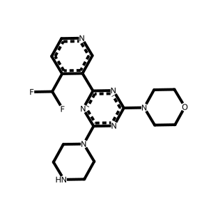 FC(F)c1ccncc1-c1nc(N2CCNCC2)nc(N2CCOCC2)n1